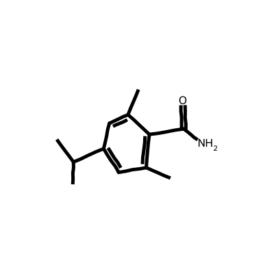 Cc1cc(C(C)C)cc(C)c1C(N)=O